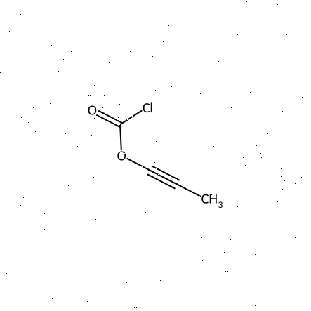 CC#COC(=O)Cl